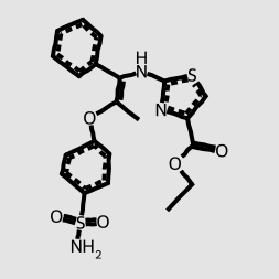 CCOC(=O)c1csc(N/C(=C(\C)Oc2ccc(S(N)(=O)=O)cc2)c2ccccc2)n1